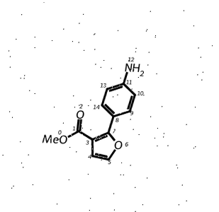 COC(=O)c1ccoc1-c1ccc(N)cc1